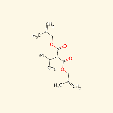 C=C(C)COC(=O)C(C(=O)OCC(=C)C)C(C)C(C)C